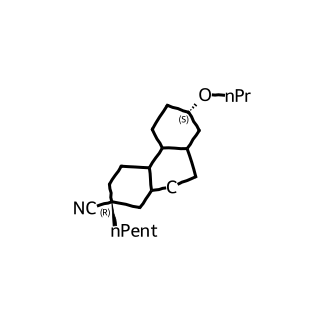 CCCCC[C@@]1(C#N)CCC2C(CCC3C[C@@H](OCCC)CCC32)C1